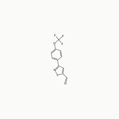 O=Cc1cc(-c2ccc(OC(F)(F)F)cc2)ns1